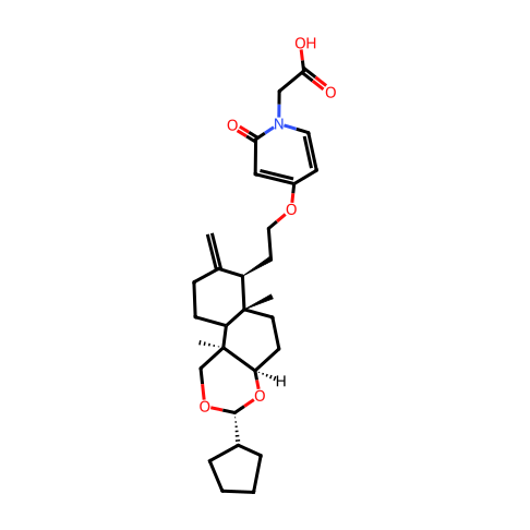 C=C1CCC2[C@]3(C)CO[C@@H](C4CCCC4)O[C@@H]3CC[C@@]2(C)[C@@H]1CCOc1ccn(CC(=O)O)c(=O)c1